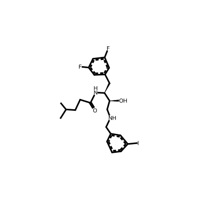 CC(C)CCC(=O)N[C@@H](Cc1cc(F)cc(F)c1)[C@@H](O)CNCc1cccc(I)c1